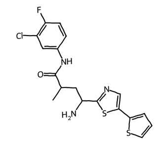 CC(CC(N)c1ncc(-c2cccs2)s1)C(=O)Nc1ccc(F)c(Cl)c1